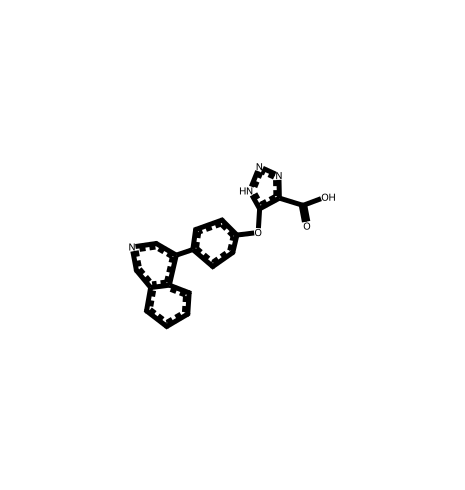 O=C(O)c1nn[nH]c1Oc1ccc(-c2cncc3ccccc23)cc1